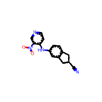 N#CC1Cc2ccc(Nc3ccncc3[N+](=O)[O-])cc2C1